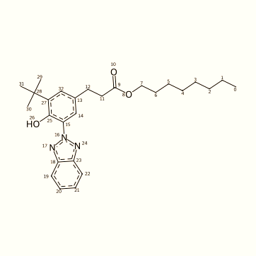 CCCCCCCCOC(=O)CCc1cc(-n2nc3ccccc3n2)c(O)c(C(C)(C)C)c1